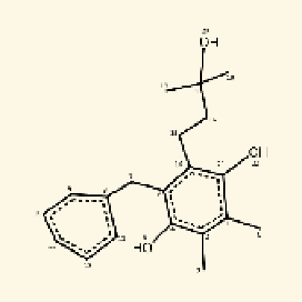 Cc1c(C)c(O)c(Cc2ccccc2)c(CCC(C)(C)O)c1O